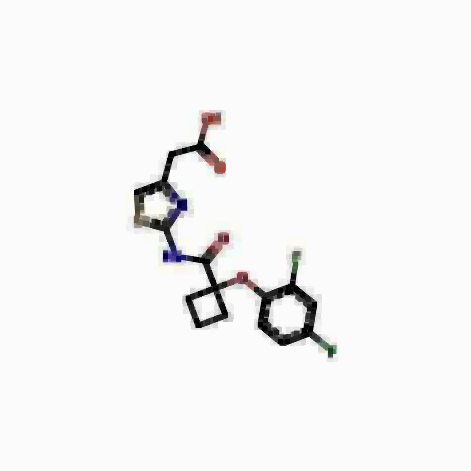 O=C(O)Cc1csc(NC(=O)C2(Oc3ccc(F)cc3F)CCC2)n1